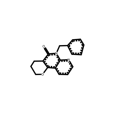 O=c1c2c(c3cccnc3n1Cc1ccccc1)OCCC2